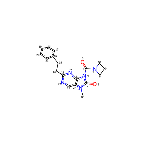 Cn1c(=O)n(C(=O)N2CCC2)c2nc(CCc3ccccc3)ncc21